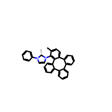 Cc1ccc2c(c1N1C=CN(c3ccccc3)[C@@H]1C)-c1ccccc1-c1ccccc1-c1ccccc1-2